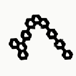 c1ccc(-c2cnc(-c3ccc(-c4ccc5ccc6ccc(-c7ccc(-c8cc9ccccc9c9ccccc89)cc7)nc6c5n4)cc3)nc2)cc1